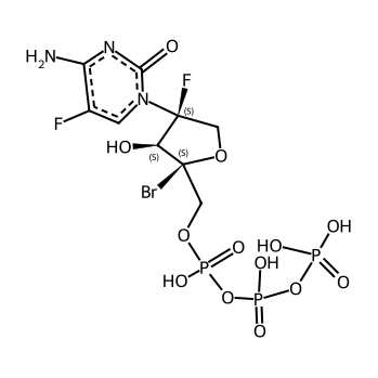 Nc1nc(=O)n([C@]2(F)CO[C@](Br)(COP(=O)(O)OP(=O)(O)OP(=O)(O)O)[C@H]2O)cc1F